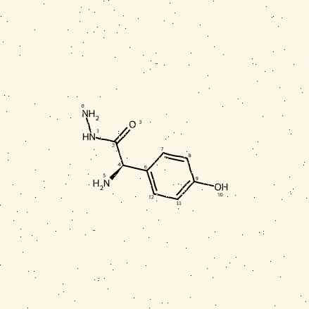 NNC(=O)[C@H](N)c1ccc(O)cc1